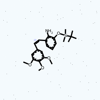 COc1cc(/C=C\c2cccc(O[Si](C)(C)C(C)(C)C)c2N)cc(OC)c1OC